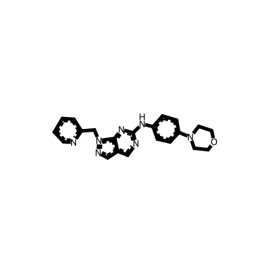 c1ccc(Cn2ncc3cnc(Nc4ccc(N5CCOCC5)cc4)nc32)nc1